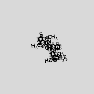 COc1nn([C@@H](Cc2ccccc2)C(=O)Nc2ccc(C(=O)O)c(C(C)(C)C)c2)c(=O)cc1-c1cc(F)ccc1C(C)=O